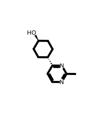 Cc1nccc([C@H]2CC[C@H](O)CC2)n1